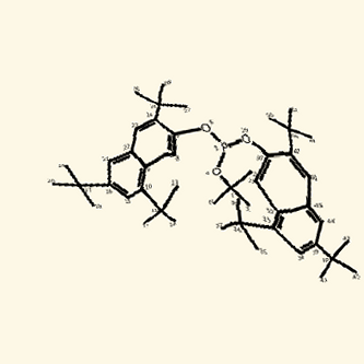 CC(C)(C)OP(Oc1cc2c(C(C)(C)C)cc(C(C)(C)C)cc2cc1C(C)(C)C)Oc1cc2c(C(C)(C)C)cc(C(C)(C)C)cc2cc1C(C)(C)C